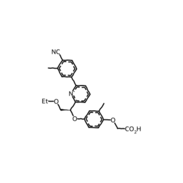 CCOC[C@H](Oc1ccc(OCC(=O)O)c(C)c1)c1cccc(-c2ccc(C#N)c(C)c2)n1